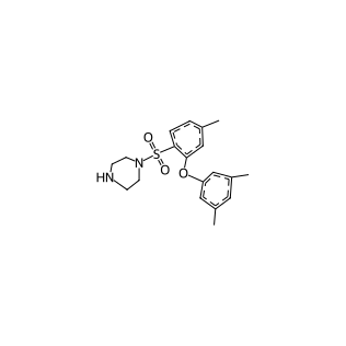 Cc1cc(C)cc(Oc2cc(C)ccc2S(=O)(=O)N2CCNCC2)c1